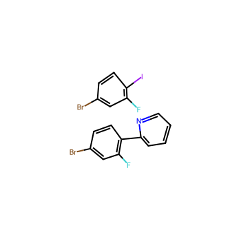 Fc1cc(Br)ccc1-c1ccccn1.Fc1cc(Br)ccc1I